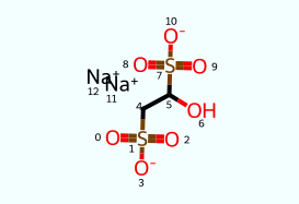 O=S(=O)([O-])CC(O)S(=O)(=O)[O-].[Na+].[Na+]